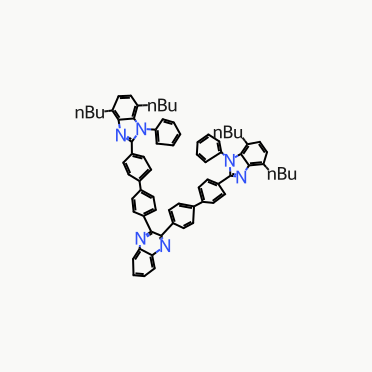 CCCCc1ccc(CCCC)c2c1nc(-c1ccc(-c3ccc(-c4nc5ccccc5nc4-c4ccc(-c5ccc(-c6nc7c(CCCC)ccc(CCCC)c7n6-c6ccccc6)cc5)cc4)cc3)cc1)n2-c1ccccc1